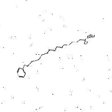 CC(C)(C)C(=O)CCCCCCCCCCCCCCCc1ccccc1